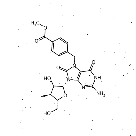 COC(=O)c1ccc(Cn2c(=O)n([C@@H]3O[C@H](CO)[C@@H](F)[C@H]3O)c3nc(N)[nH]c(=O)c32)cc1